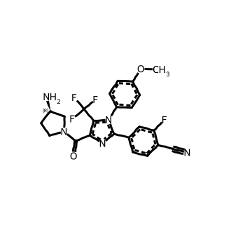 COc1ccc(-n2c(-c3ccc(C#N)c(F)c3)nc(C(=O)N3CC[C@@H](N)C3)c2C(F)(F)F)cc1